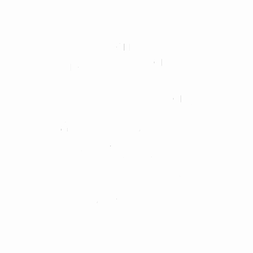 CC(C)CCC1(CCC(C)C)C(=O)C=Cc2ccccc21